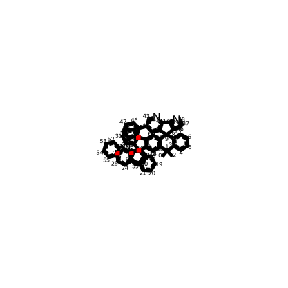 CC1(C)c2ccccc2C2(c3cc4c(cc31)C1(c3ccccc3-c3ccccc31)c1ccccc1-4)c1cccnc1-c1ncc(-c3cccc(N(c4ccccc4)c4ccccc4)c3)cc12